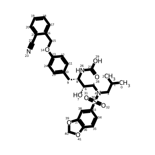 CC(C)CN(C[C@H](O)[C@H](Cc1ccc(OCc2ccccc2C#N)cc1)NC(=O)O)S(=O)(=O)c1ccc2c(c1)OCO2